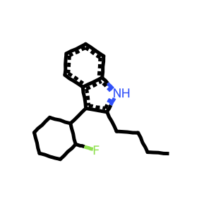 CCCCc1[nH]c2ccccc2c1C1CCCCC1F